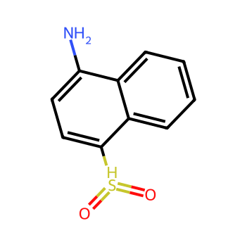 Nc1ccc([SH](=O)=O)c2ccccc12